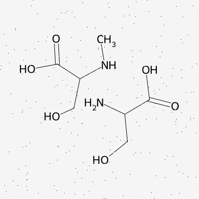 CNC(CO)C(=O)O.NC(CO)C(=O)O